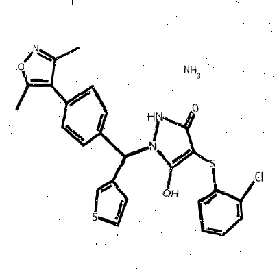 Cc1noc(C)c1-c1ccc(C(c2ccsc2)n2[nH]c(=O)c(Sc3ccccc3Cl)c2O)cc1.N